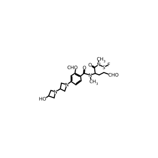 CN(SF)C(=O)C(CCC=O)N(C)C(=O)c1ccc(N2CC(N3CC(O)C3)C2)cc1C=O